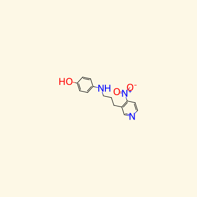 O=[N+]([O-])c1ccncc1CCCNc1ccc(O)cc1